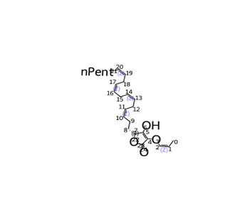 C/C=C\OC1=C(O)[C@@H](CC/C=C\C/C=C\C/C=C\C/C=C\CCCCC)OC1=O